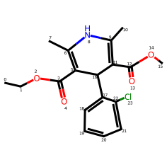 CCOC(=O)C1=C(C)NC(C)=C(C(=O)OC)C1c1ccccc1Cl